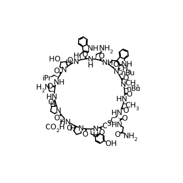 CCCC[C@H]1C(=O)N(C)[C@@H](CCCC)C(=O)N[C@@H](C)C(=O)N[C@H](C(=O)NCC(N)=O)CSCC(=O)N[C@@H](Cc2ccc(O)cc2)C(=O)N2CCC[C@H]2C(=O)N[C@@H](CC(=O)O)C(=O)N2CCC[C@H]2C(=O)N[C@@H](CN)C(=O)N[C@@H](CC(C)C)C(=O)N2C[C@@H](O)C[C@H]2C(=O)N[C@@H](Cc2c[nH]c3ccccc23)C(=O)N[C@@H](CCN)C(=O)N[C@@H](Cc2c[nH]c3ccccc23)C(=O)N1C